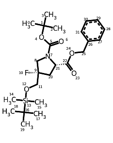 CC(C)(C)OC(=O)N1C[C@](F)(CO[Si](C)(C)C(C)(C)C)C[C@H]1C(=O)OCc1ccccc1